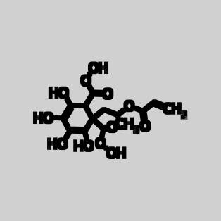 C=CC(=O)OC(C)CC1(C(=O)OO)C(O)=C(O)C(O)=C(O)C1C(=O)OO